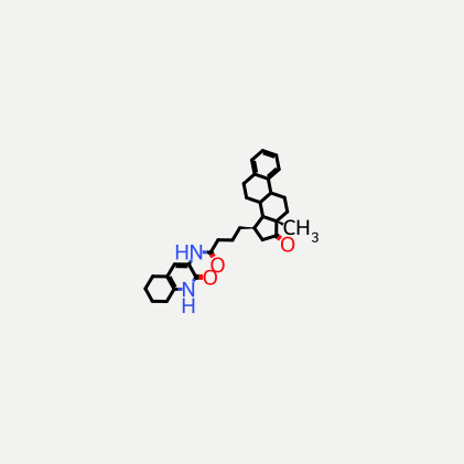 C[C@]12CCC3c4ccccc4CCC3C1[C@H](CCCC(=O)Nc1cc3c([nH]c1=O)CCCC3)CC2=O